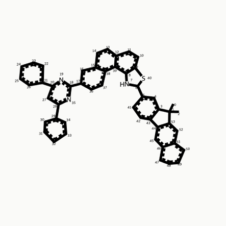 CC1(C)c2cc(C3Nc4c(ccc5ccc6cc(-c7nc(-c8ccccc8)cc(-c8ccccc8)n7)ccc6c45)S3)ccc2-c2cc3ccccc3cc21